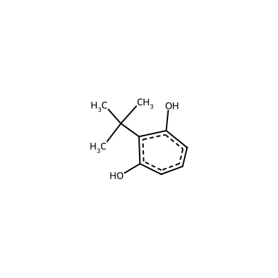 CC(C)(C)c1c(O)cccc1O